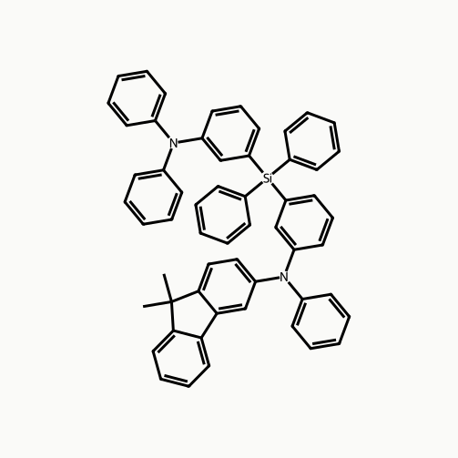 CC1(C)c2ccccc2-c2cc(N(c3ccccc3)c3cccc([Si](c4ccccc4)(c4ccccc4)c4cccc(N(c5ccccc5)c5ccccc5)c4)c3)ccc21